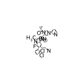 Cc1nc2c(F)c(-c3cccc(Cl)c3Cl)c(CCC#N)cc2c2c1cc(C1C3CC(CN(c4cccnc4)C3)N1C(=O)C1CC1)n2C1C2CNC1C2